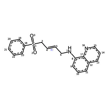 O=S(=O)(C/C=C/CNc1cccc2cccnc12)c1ccccc1